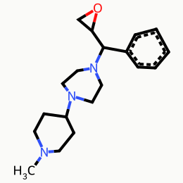 CN1CCC(N2CCN(C(c3ccccc3)C3CO3)CC2)CC1